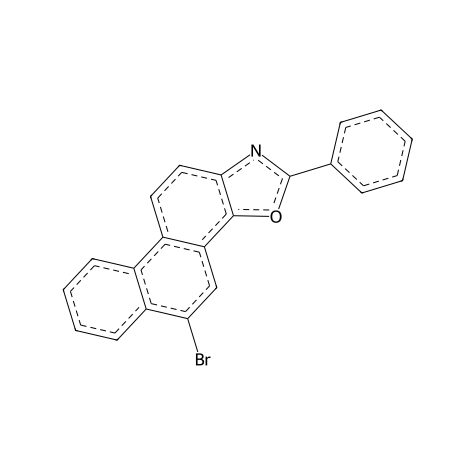 Brc1cc2c(ccc3nc(-c4ccccc4)oc32)c2ccccc12